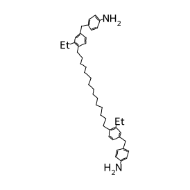 CCc1cc(Cc2ccc(N)cc2)ccc1CCCCCCCCCCCCCCCc1ccc(Cc2ccc(N)cc2)cc1CC